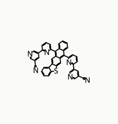 N#Cc1cncc(-c2cccc(-c3c4ccccc4c(-c4cccc(-c5cncc(C#N)c5)n4)c4cc5c(cc34)sc3ccccc35)n2)c1